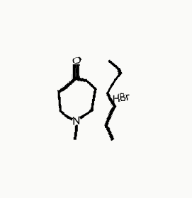 Br.CCCCCC.CN1CCC(=O)CC1